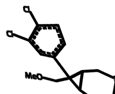 COCC1(c2ccc(Cl)c(Cl)c2)C2CCNCC21